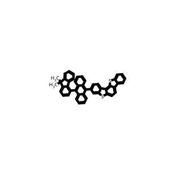 CC1(C)c2ccccc2-c2c(-c3c4ccccc4c(-c4ccc5c(c4)sc4ccc6c7ccccc7sc6c45)c4ccccc34)cccc21